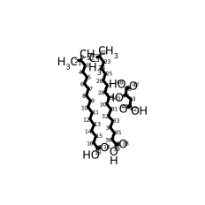 CC(C)CCCCCCCCCCCCCCC(=O)O.CC(C)CCCCCCCCCCCCCCC(=O)O.O=C(O)CC(O)C(=O)O